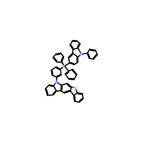 c1ccc(-n2c3ccccc3c3cc([Si](c4ccccc4)(c4ccccc4)c4cccc(-n5c6ccccc6c6cc7c(cc65)oc5ccccc57)c4)ccc32)cc1